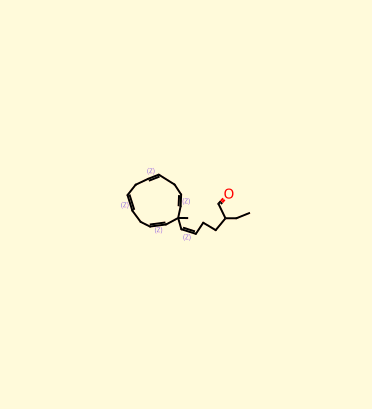 CCC(C=O)CC/C=C\C1(C)/C=C\C/C=C\C/C=C\C/C=C\1